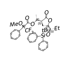 CC[C@H](O[Si](c1ccccc1)(c1ccccc1)C(C)(C)C)[C@@H]1C[C@@H]([C@@H](C)OC(=O)[C@@](OC)(c2ccccc2)C(F)(F)F)C(=O)O1